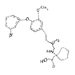 COc1cc(C=CC(=O)NC2(C(=O)O)CCCC2)ccc1Oc1cccc(Br)c1